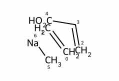 C=C.C=CC(=O)O.[CH3][Na]